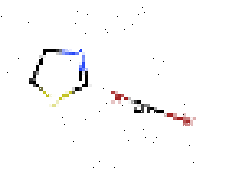 [Br][Zn][Br].[C]1=NCCS1